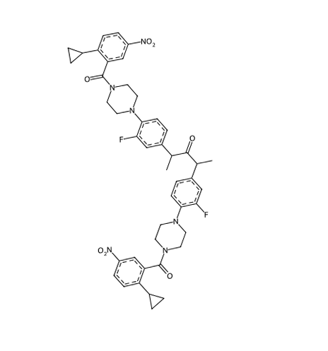 CC(C(=O)C(C)c1ccc(N2CCN(C(=O)c3cc([N+](=O)[O-])ccc3C3CC3)CC2)c(F)c1)c1ccc(N2CCN(C(=O)c3cc([N+](=O)[O-])ccc3C3CC3)CC2)c(F)c1